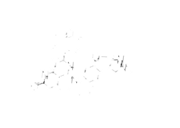 Cc1cc2c(N3CCCc4cc(-c5cnn(C)c5)c(O)cc43)nc(C3CCOCC3)cc2n(C)c1=O